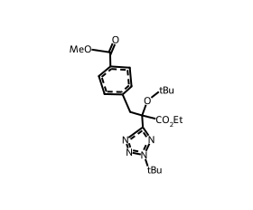 CCOC(=O)C(Cc1ccc(C(=O)OC)cc1)(OC(C)(C)C)c1nnn(C(C)(C)C)n1